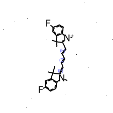 CN1/C(=C/C=C/C=C/C2=[N+](C)c3ccc(F)cc3C2(C)C)C(C)(C)c2cc(F)ccc21